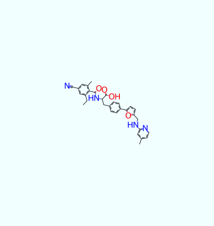 CCc1cc(C#N)cc(C)c1C(=O)NC(Cc1ccc(-c2ccc(CNc3cc(C)ccn3)o2)cc1)C(=O)O